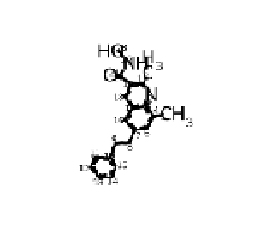 Cc1nc2c(C)cc(CCc3ccccc3)cc2cc1C(=O)NO